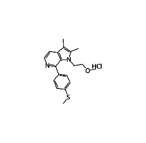 COCCn1c(C)c(C)c2ccnc(-c3ccc(SC)cc3)c21.Cl